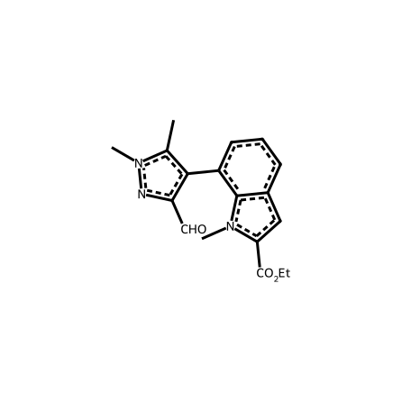 CCOC(=O)c1cc2cccc(-c3c(C=O)nn(C)c3C)c2n1C